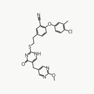 COc1ncc(Cc2c[nH]c(SCCc3ccc(Oc4ccc(Cl)c(C)c4)c(C#N)c3)nc2=O)cn1